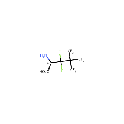 N[C@H](C(=O)O)C(F)(F)C(C(F)(F)F)(C(F)(F)F)C(F)(F)F